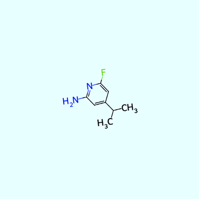 CC(C)c1cc(N)nc(F)c1